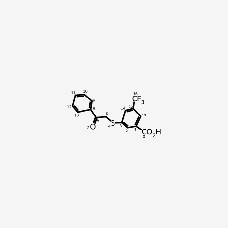 O=C(O)c1cc(SCC(=O)c2ccccc2)cc(C(F)(F)F)c1